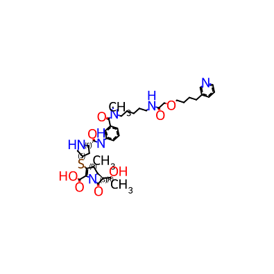 C[C@H]1C(S[C@@H]2CN[C@H](C(=O)Nc3cccc(C(=O)N(C)CCCCCNC(=O)COCCCCc4cccnc4)c3)C2)=C(C(=O)O)N2C(=O)[C@H]([C@@H](C)O)C12